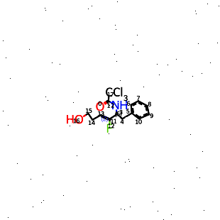 O=C(N[C@@H](Cc1ccccc1)/C(F)=C/CCO)C(Cl)(Cl)Cl